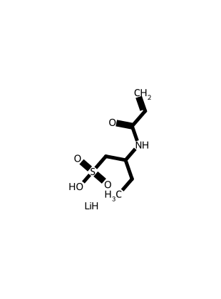 C=CC(=O)NC(CC)CS(=O)(=O)O.[LiH]